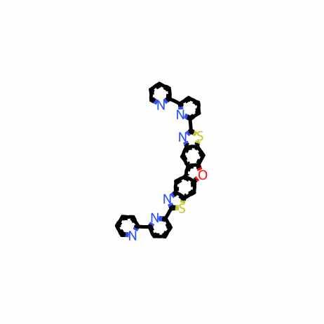 c1ccc(-c2cccc(-c3nc4cc5c(cc4s3)oc3cc4sc(-c6cccc(-c7ccccn7)n6)nc4cc35)n2)nc1